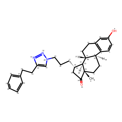 C[C@]12CC[C@@H]3c4ccc(O)cc4CC[C@H]3[C@@H]1[C@@H](CCCn1cc(CCc3ccccc3)nn1)CC2=O